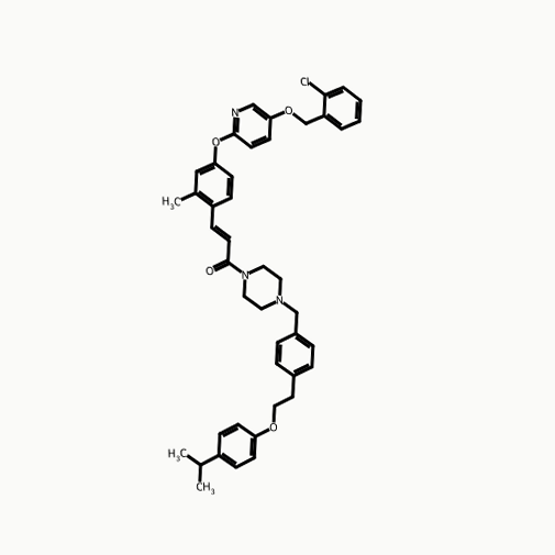 Cc1cc(Oc2ccc(OCc3ccccc3Cl)cn2)ccc1C=CC(=O)N1CCN(Cc2ccc(CCOc3ccc(C(C)C)cc3)cc2)CC1